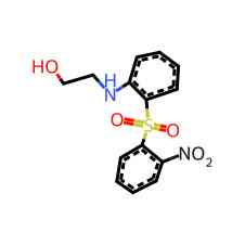 O=[N+]([O-])c1ccccc1S(=O)(=O)c1ccccc1NCCO